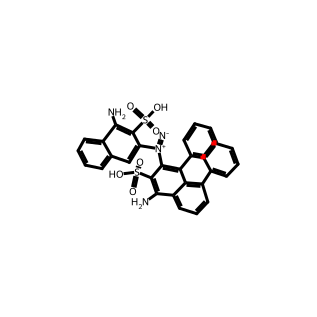 [N-]=[N+](c1cc2ccccc2c(N)c1S(=O)(=O)O)c1c(S(=O)(=O)O)c(N)c2cccc(-c3ccccc3)c2c1-c1ccccc1